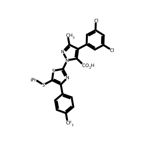 Cc1nn(-c2nc(-c3ccc(C(F)(F)F)cc3)c(SC(C)C)s2)c(C(=O)O)c1-c1cc(Cl)cc(Cl)c1